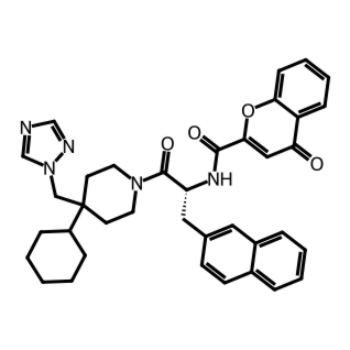 O=C(N[C@H](Cc1ccc2ccccc2c1)C(=O)N1CCC(Cn2cncn2)(C2CCCCC2)CC1)c1cc(=O)c2ccccc2o1